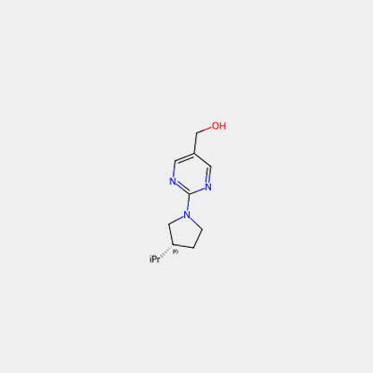 CC(C)[C@H]1CCN(c2ncc(CO)cn2)C1